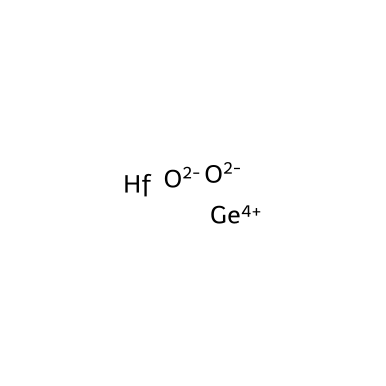 [Ge+4].[Hf].[O-2].[O-2]